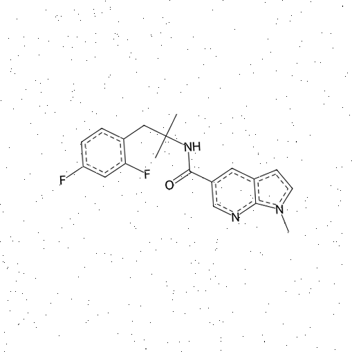 Cn1ccc2cc(C(=O)NC(C)(C)Cc3ccc(F)cc3F)cnc21